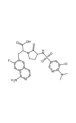 CN(C)c1ncc(S(=O)(=O)NC2CCN(C(Cc3cc4ccnc(N)c4cc3F)C(=O)O)C2=O)cc1Cl